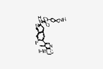 Cc1c(-c2cc3cc(NC(=O)OC4CC5(CNC5)C4)ncc3cc2F)cnc2c1NCCO2